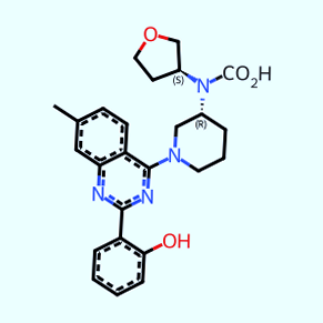 Cc1ccc2c(N3CCC[C@@H](N(C(=O)O)[C@H]4CCOC4)C3)nc(-c3ccccc3O)nc2c1